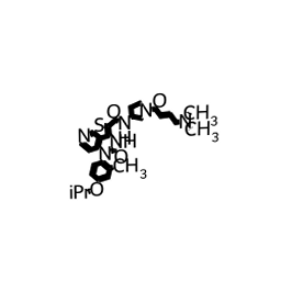 Cc1cc(OC(C)C)ccc1N1C(=O)Nc2c(C(=O)NC3CCN(C(=O)C=CCN(C)C)C3)sc3nccc1c23